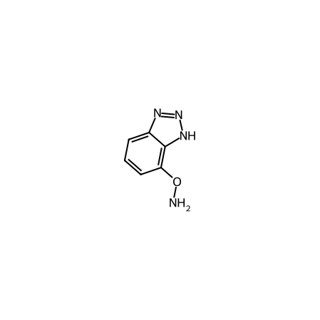 NOc1cccc2nn[nH]c12